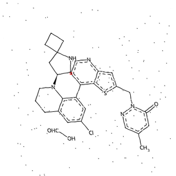 Cc1cnn(Cc2cc3nccc(-c4cc(Cl)cc5c4N([C@@H]4CNC6(CCC6)C4)CCC5)c3s2)c(=O)c1.O=CO